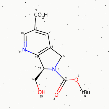 CC(C)(C)OC(=O)N1Cc2cc(C(=O)O)cnc2[C@@H]1CO